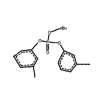 CCCCOP(=O)(Oc1cccc(C)c1)Oc1cccc(C)c1